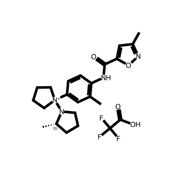 Cc1cc(C(=O)Nc2ccc([N+]3(N4CCC[C@@H]4C)CCCC3)cc2C)on1.O=C(O)C(F)(F)F